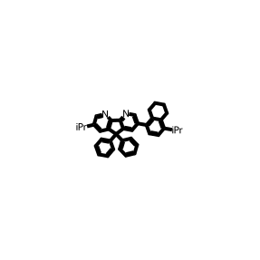 CC(C)c1cnc2c(c1)C(c1ccccc1)(c1ccccc1)c1cc(-c3ccc(C(C)C)c4c3CCCC4)cnc1-2